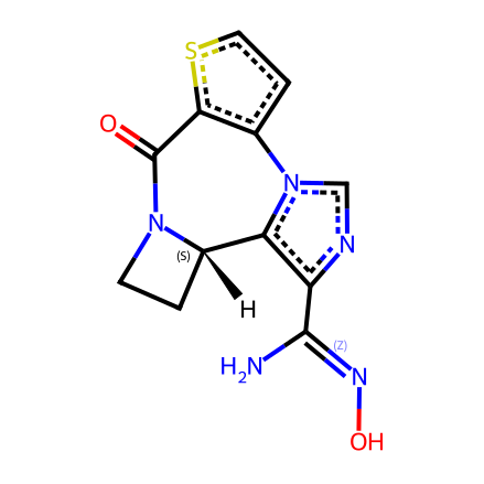 N/C(=N\O)c1ncn2c1[C@@H]1CCN1C(=O)c1sccc1-2